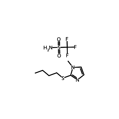 CCCCSc1nccn1C.NS(=O)(=O)C(F)(F)F